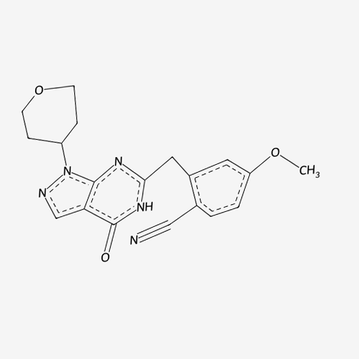 COc1ccc(C#N)c(Cc2nc3c(cnn3C3CCOCC3)c(=O)[nH]2)c1